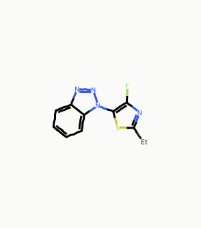 CCc1nc(F)c(-n2nnc3ccccc32)s1